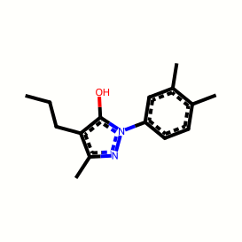 CCCc1c(C)nn(-c2ccc(C)c(C)c2)c1O